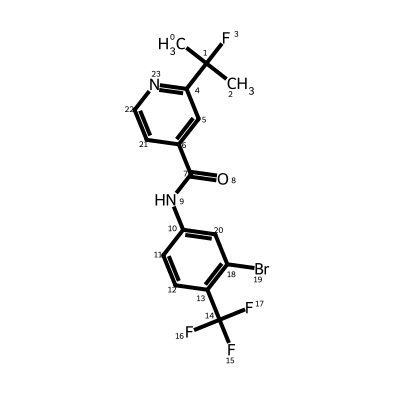 CC(C)(F)c1cc(C(=O)Nc2ccc(C(F)(F)F)c(Br)c2)ccn1